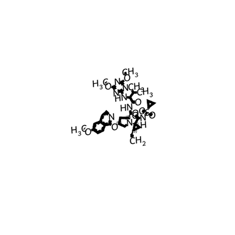 C=C[C@@H]1C[C@@]1(C(=O)NS(=O)(=O)C1CC1)N1C[C@H](Oc2nccc3cc(OC)ccc23)C[C@H]1C(=O)NC(=O)C(Nc1nc(OC)nc(OC)n1)C(C)C